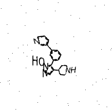 On1ncc(C2CCNCC2)c1-c1cccc(-c2cccnc2)c1